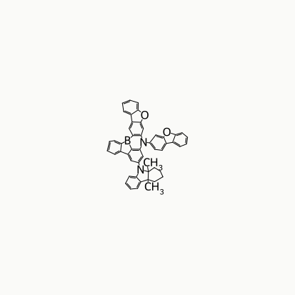 CC12CCCCC1(C)N(c1cc3c4c(c1)N(c1ccc5c(c1)oc1ccccc15)c1cc5oc6ccccc6c5cc1B4c1ccccc1-3)c1ccccc12